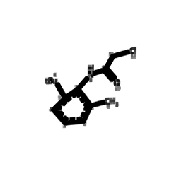 Cc1cccc(C(C)(C)C)c1NC(=O)CCl